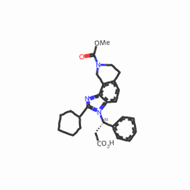 COC(=O)N1CCc2ccc3c(nc(C4CCCCC4)n3[C@@H](CC(=O)O)c3ccccc3)c2C1